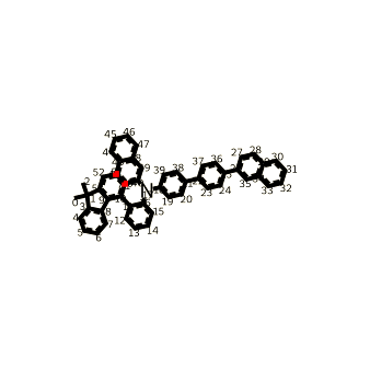 CC1(C)c2ccccc2-c2c(-c3ccccc3N(c3ccc(-c4ccc(-c5ccc6ccccc6c5)cc4)cc3)c3ccc4ccccc4c3)cccc21